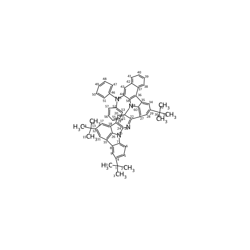 CC(C)(C)c1ccc2c(c1)c1cc(C(C)(C)C)cc3c4cc5c(nc4n2c13)c1cc(C(C)(C)C)cc2c3c4ccccc4cc(N(c4ccccc4)c4ccccc4)c3n5c12